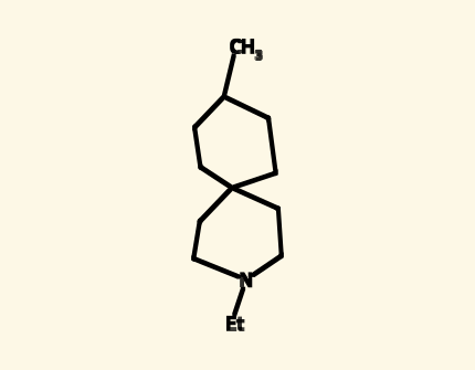 CCN1CCC2(CCC(C)CC2)CC1